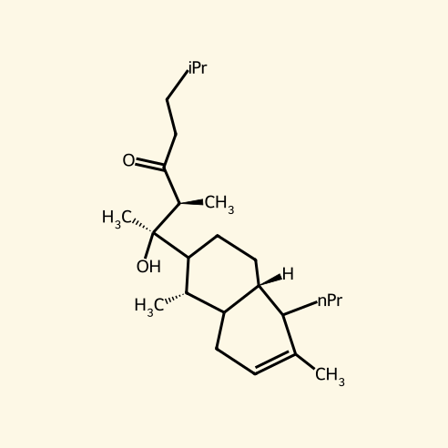 CCCC1C(C)=CCC2[C@H](C)C([C@@](C)(O)[C@H](C)C(=O)CCC(C)C)CC[C@H]12